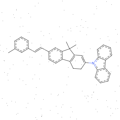 Cc1cccc(/C=C/c2ccc3c(c2)C(C)(C)C2=C3CCC(n3c4ccccc4c4ccccc43)=C2)c1